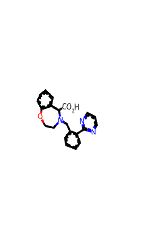 O=C(O)C1c2ccccc2OCCN1Cc1ccccc1-c1ncccn1